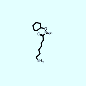 CC(C)N(OC1CCCCC1)C(=O)CCCCCCN